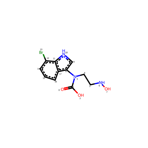 O=C(O)N(CCNO)c1c[nH]c2c(Br)cccc12